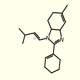 CC1=CC2N=C(C3=CCCCC3)N(/C=C/C(C)C)C2CC1